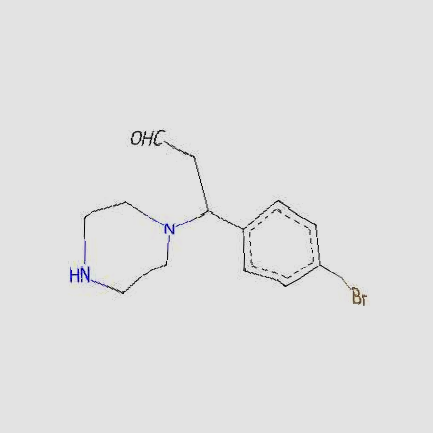 O=CCC(c1ccc(Br)cc1)N1CCNCC1